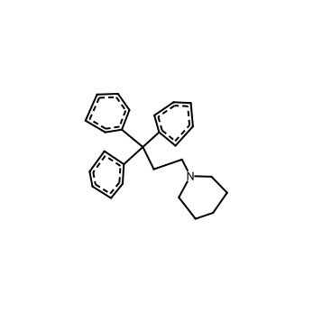 c1ccc(C(CCN2CCCCC2)(c2ccccc2)c2ccccc2)cc1